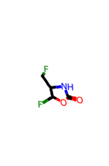 O=C1NC(CF)C(F)O1